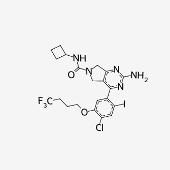 Nc1nc2c(c(-c3cc(OCCCC(F)(F)F)c(Cl)cc3I)n1)CN(C(=O)NC1CCC1)C2